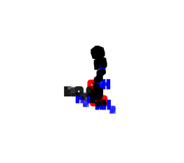 CCOC(=O)c1c(C(=O)NCCCCN2CC=C(c3ccccc3)CC2)ccc(S(N)(=O)=O)c1N